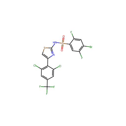 O=S(=O)(Nc1nc(-c2c(Cl)cc(C(F)(F)F)cc2Cl)cs1)c1cc(F)c(Br)cc1F